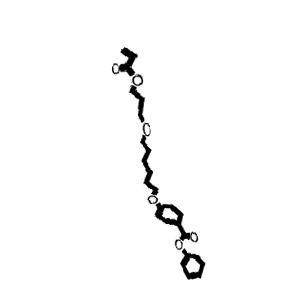 C=CC(=O)OCCCOCCCCCCOc1ccc(C(=O)Oc2ccccc2)cc1